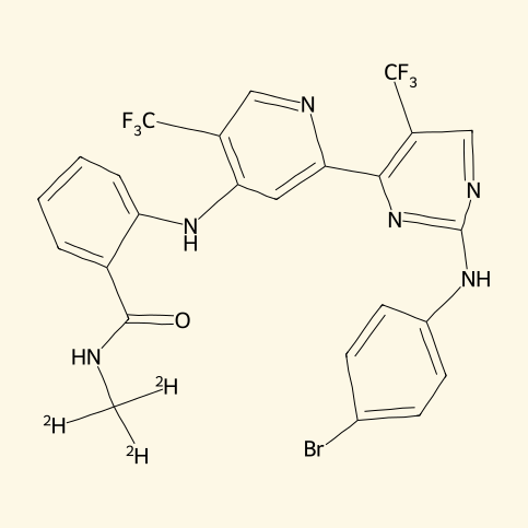 [2H]C([2H])([2H])NC(=O)c1ccccc1Nc1cc(-c2nc(Nc3ccc(Br)cc3)ncc2C(F)(F)F)ncc1C(F)(F)F